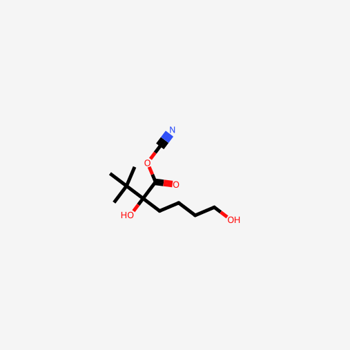 CC(C)(C)C(O)(CCCCO)C(=O)OC#N